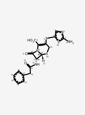 Nc1ncc(SC2=C(C(=O)O)N3C(=O)[C@@H](NC(=O)Cc4ccccc4)[C@H]3SC2)s1